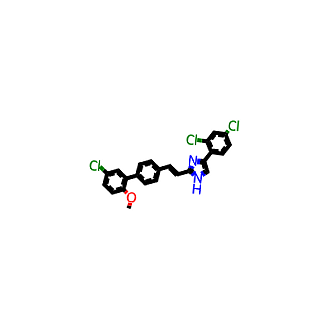 COc1ccc(Cl)cc1-c1ccc(C=Cc2nc(-c3ccc(Cl)cc3Cl)c[nH]2)cc1